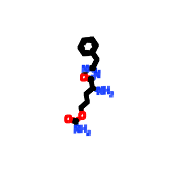 NC(=O)OCCCC(N)c1nc(Cc2ccccc2)no1